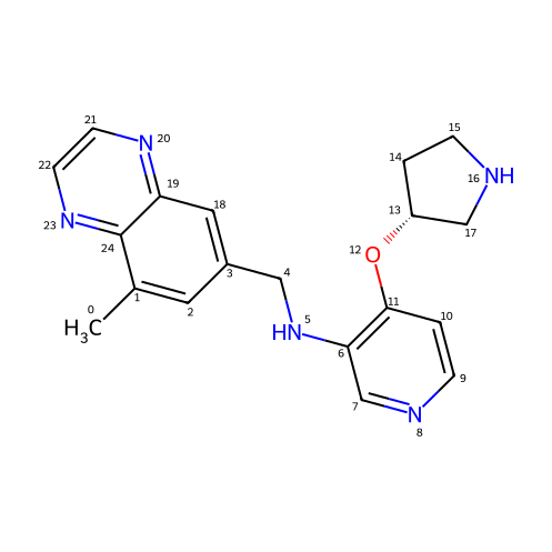 Cc1cc(CNc2cnccc2O[C@@H]2CCNC2)cc2nccnc12